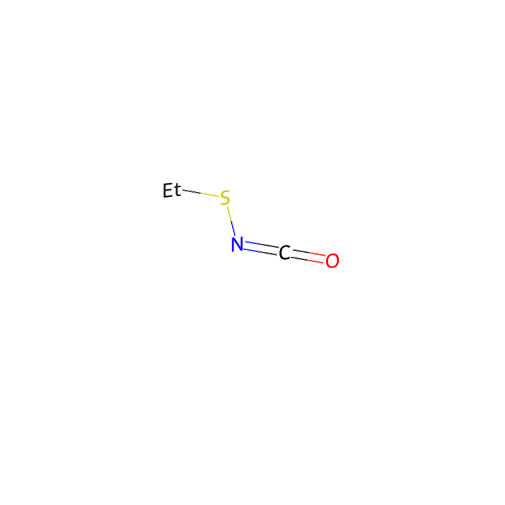 CCSN=C=O